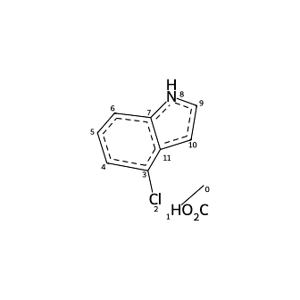 CC(=O)O.Clc1cccc2[nH]ccc12